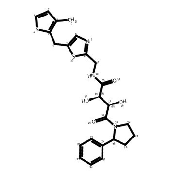 Cc1ccsc1Cc1cnc(CNC(=O)[C@H](O)[C@@H](O)C(=O)N2CCCC2c2ccccc2)s1